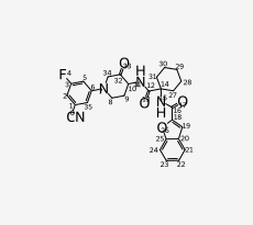 N#Cc1cc(F)cc(N2CCC(NC(=O)C3(NC(=O)c4cc5ccccc5o4)CCCCC3)C(=O)C2)c1